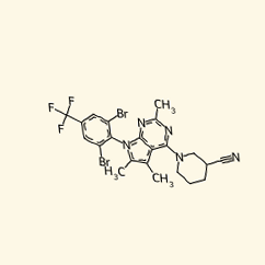 Cc1nc(N2CCCC(C#N)C2)c2c(C)c(C)n(-c3c(Br)cc(C(F)(F)F)cc3Br)c2n1